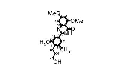 COc1cc(OC)c2c(=O)[nH]c(-c3cc(C)c(CCCO)c(C)c3)nc2c1